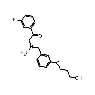 CN(CC(=O)c1cccc(F)c1)Cc1cccc(OCCCO)c1